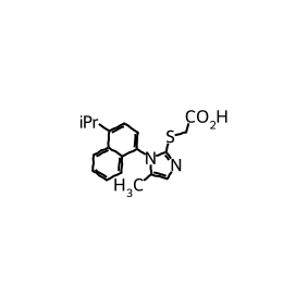 Cc1cnc(SCC(=O)O)n1-c1ccc(C(C)C)c2ccccc12